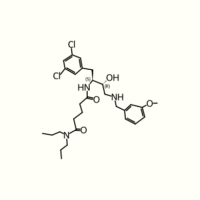 CCCN(CCC)C(=O)CCCC(=O)N[C@@H](Cc1cc(Cl)cc(Cl)c1)[C@H](O)CNCc1cccc(OC)c1